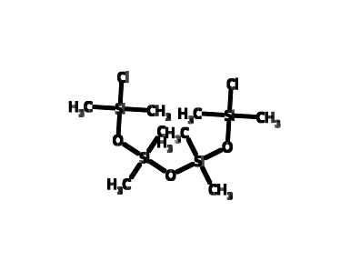 C[Si](C)(Cl)O[Si](C)(C)O[Si](C)(C)O[Si](C)(C)Cl